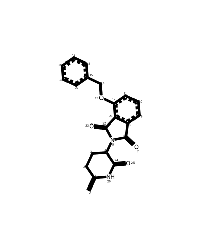 C=C1CCC(N2C(=O)c3cccc(OCc4ccccc4)c3C2=O)C(=O)N1